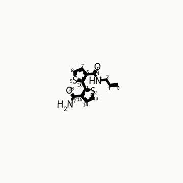 C=CCNC(=O)c1ccsc1-c1sccc1C(N)=O